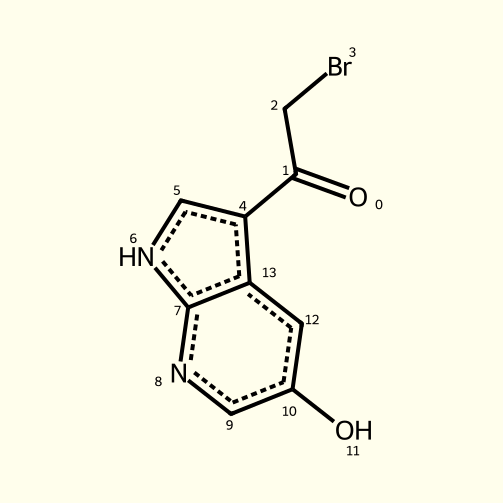 O=C(CBr)c1c[nH]c2ncc(O)cc12